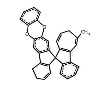 CC1=CC2=C(C=CC1)C1(C3=C(CCC=C3)c3cc4c(cc31)Oc1ccccc1O4)c1ccccc12